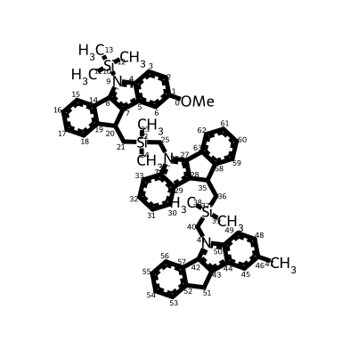 COc1ccc2c(c1)c1c(n2[Si](C)(C)C)-c2ccccc2C1C[Si](C)(C)Cn1c2c(c3ccccc31)C(C[Si](C)(C)Cn1c3c(c4cc(C)ccc41)Cc1ccccc1-3)c1ccccc1-2